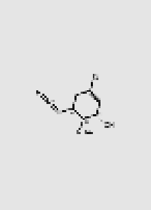 CCC1=C[C@H](O)[C@H](NC(C)=O)[C@@H](N=[N+]=[N-])C1